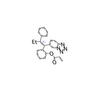 C=CC(=O)Oc1ccccc1/C(=C(\CC)c1ccccc1)c1ccc2nnnn2c1